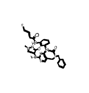 Cn1cc(Nc2ncc3c(n2)N(c2cccc(NC(=O)/C=C/CF)c2)C(=O)N(Cc2ccccc2)C3)c(Cl)n1